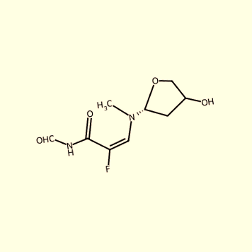 CN(/C=C(/F)C(=O)NC=O)[C@H]1CC(O)CO1